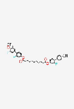 N#Cc1ccc(-c2ccc(OC(=O)CCCCCCCCCC(=O)Oc3ccc(-c4ccc(OC(F)(F)F)c(F)c4)c(F)c3)cc2F)cc1